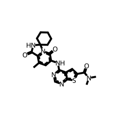 Cc1cc(Nc2ncnc3sc(C(=O)N(C)C)cc23)c(=O)n2c1C(=O)NC21CCCCC1